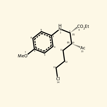 CCOC(=O)[C@@H](Nc1ccc(OC)cc1)[C@@H](CCCCl)C(C)=O